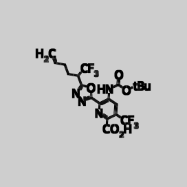 C=CCCC(c1nnc(-c2nc(C(=O)O)c(C(F)(F)F)cc2NC(=O)OC(C)(C)C)o1)C(F)(F)F